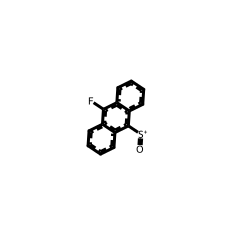 O=[S+]c1c2ccccc2c(F)c2ccccc12